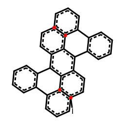 Ic1ccc2c(-c3ccccc3-c3ccccc3)c3ccccc3c(-c3ccccc3-c3ccccc3)c2c1